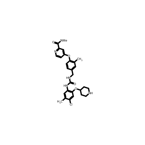 CNC(=O)c1cc(Oc2ccc(CNC(=O)Nc3cc(C)c(Cl)cc3OC3CCNCC3)cc2C)ccn1